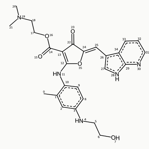 Cc1cc(NCCO)ccc1NC1=C(C(=O)OCCN(C)C)C(=O)C(=Cc2c[nH]c3ncccc23)O1